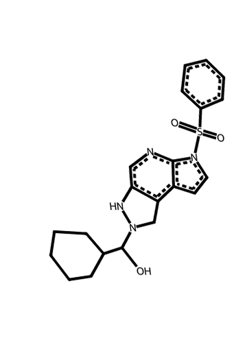 O=S(=O)(c1ccccc1)n1ccc2c3c(cnc21)NN(C(O)C1CCCCC1)C3